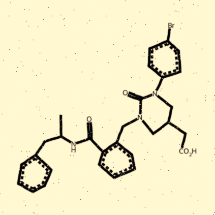 CC(Cc1ccccc1)NC(=O)c1ccccc1CN1CC(CC(=O)O)CN(c2ccc(Br)cc2)C1=O